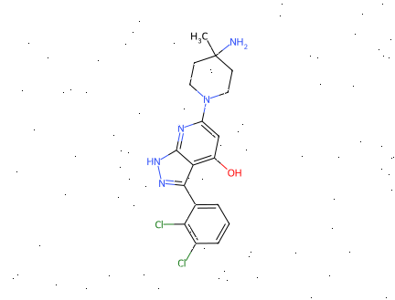 CC1(N)CCN(c2cc(O)c3c(-c4cccc(Cl)c4Cl)n[nH]c3n2)CC1